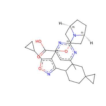 Cc1cc(C(=O)O)nc(N2[C@@H]3CC[C@H]2C[C@H](OCc2c(C4CCC5(CC4)CC5)noc2C2CC2)C3)n1